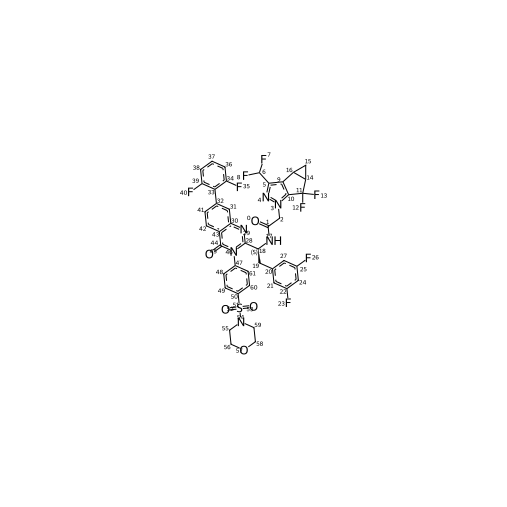 O=C(Cn1nc(C(F)F)c2c1C(F)(F)C1CC21)N[C@@H](Cc1cc(F)cc(F)c1)c1nc2cc(-c3c(F)cccc3F)ccc2c(=O)n1-c1ccc(S(=O)(=O)N2CCOCC2)cc1